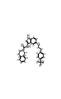 O=C(Nc1c[nH]c2ccc(OCCc3ccc(C(F)(F)F)cc3)cc12)N1CCc2ccccc2C1